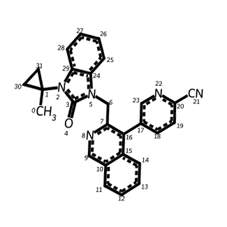 CC1(n2c(=O)n(Cc3ncc4ccccc4c3-c3ccc(C#N)nc3)c3ccccc32)CC1